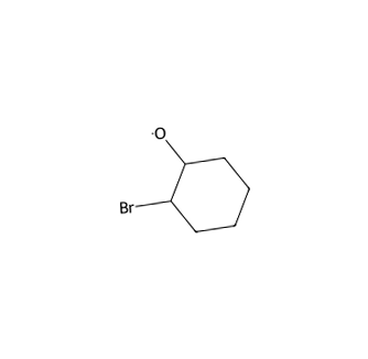 [O]C1CCCCC1Br